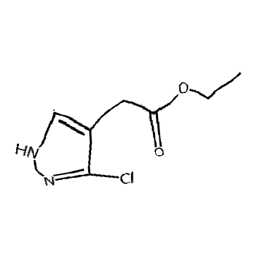 CCOC(=O)Cc1[c][nH]nc1Cl